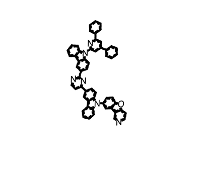 c1ccc(-c2cc(-c3ccccc3)nc(-n3c4ccccc4c4cc(-c5nccc(-c6ccc7c(c6)c6ccccc6n7-c6ccc7oc8ccncc8c7c6)n5)ccc43)c2)cc1